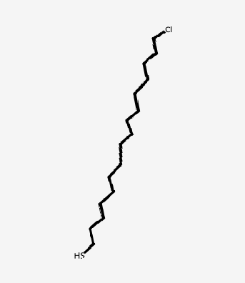 SCCCCCCCCCCCCCCCCCl